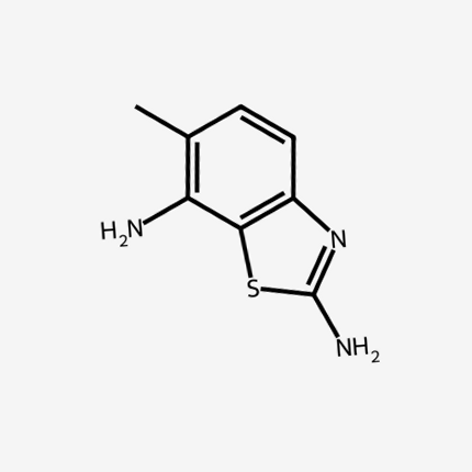 Cc1ccc2nc(N)sc2c1N